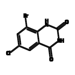 O=c1[nH]c(=O)c2cc(Cl)cc(Br)c2[nH]1